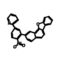 O=[N+]([O-])c1ccc(-c2ccccn2)cc1-c1ccc2ccc3c4ccccc4oc3c2c1